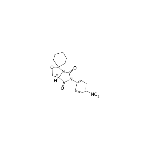 O=C1[C@H]2COC3(CCCCC3)N2C(=O)N1c1ccc([N+](=O)[O-])cc1